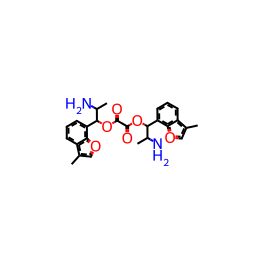 Cc1coc2c(C(OC(=O)C(=O)OC(c3cccc4c(C)coc34)C(C)N)C(C)N)cccc12